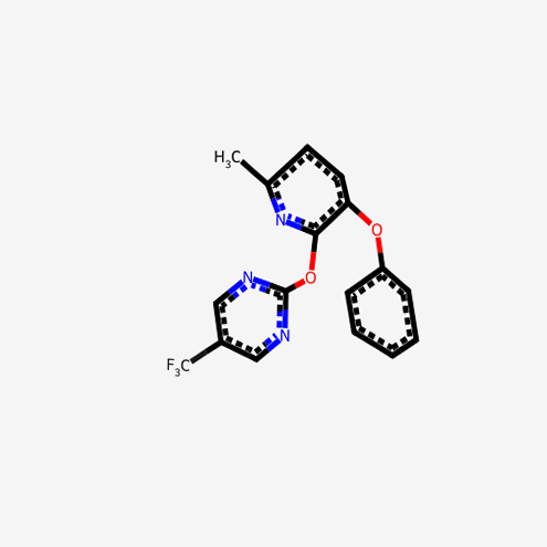 Cc1ccc(Oc2ccccc2)c(Oc2ncc(C(F)(F)F)cn2)n1